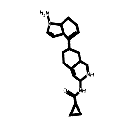 NN1C=CC2C(C3CCC4=CC(NC(=O)C5CC5)NCC4C3)=CCCC21